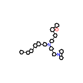 c1ccc(-c2ccc3ccc(-c4ccc5ccc(-c6ccc(N(c7ccc(-c8cccc(-c9cccc%10c9oc9ccccc9%10)c8)cc7)c7ccc(-c8cccc(-n9c%10ccccc%10c%10ccccc%109)c8)cc7)cc6)cc5c4)cc3c2)cc1